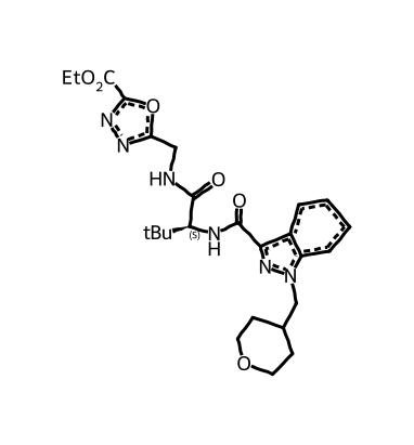 CCOC(=O)c1nnc(CNC(=O)[C@@H](NC(=O)c2nn(CC3CCOCC3)c3ccccc23)C(C)(C)C)o1